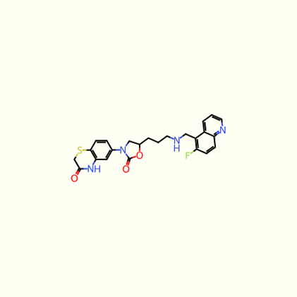 O=C1CSc2ccc(N3CC(CCCNCc4c(F)ccc5ncccc45)OC3=O)cc2N1